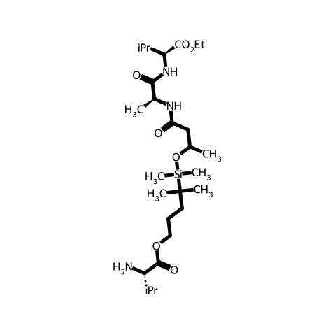 CCOC(=O)[C@@H](NC(=O)[C@H](C)NC(=O)CC(C)O[Si](C)(C)C(C)(C)CCCOC(=O)[C@@H](N)C(C)C)C(C)C